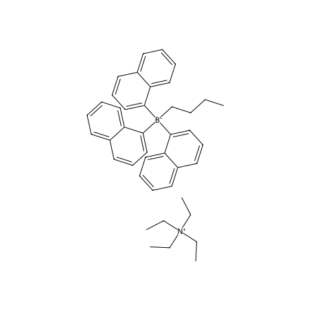 CCCC[B-](c1cccc2ccccc12)(c1cccc2ccccc12)c1cccc2ccccc12.CC[N+](CC)(CC)CC